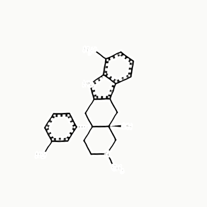 Cc1cccc2c3c([nH]c12)C[C@]1(c2cccc(O)c2)CCN(C)C[C@@]1(O)C3